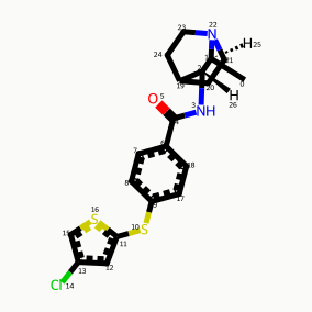 C[C@H]1[C@H](NC(=O)c2ccc(Sc3cc(Cl)cs3)cc2)C2CCN1CC2